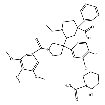 CCN1CCC(C(=O)O)(c2ccccc2)CC1C1(c2ccc(Cl)c(Cl)c2)CCN(C(=O)c2cc(OC)c(OC)c(OC)c2)C1.Cl.NC(=O)N1CCCCC1